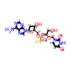 Nc1ncnc2c1ncn2[C@H]1C[C@@H](O)[C@@H](COP(=O)(S)OC(CO)OCn2ccc(=O)[nH]c2=O)O1